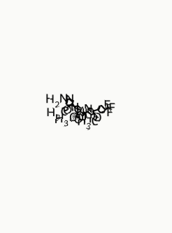 COc1cc(C(=O)N2CCN(c3cnc(N)cc3OC)CC2[C@@H](C)O)ncc1-c1ccc(C(F)(F)F)cc1